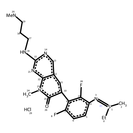 CC/S(C)=N\c1ccc(F)c(-c2cc3cnc(NCCCNC)nc3n(C)c2=O)c1F.Cl